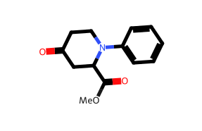 COC(=O)C1CC(=O)CCN1c1ccccc1